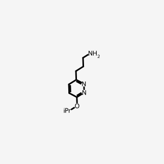 CC(C)Oc1ccc(CCCN)nn1